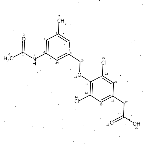 CC(=O)Nc1cc(C)cc(COc2c(Cl)cc(CC(=O)O)cc2Cl)c1